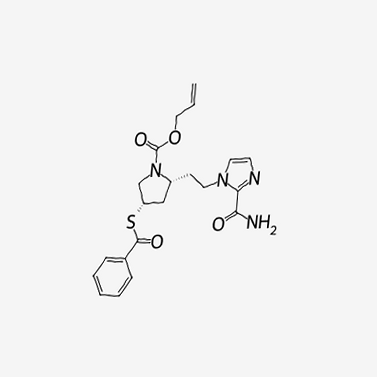 C=CCOC(=O)N1C[C@@H](SC(=O)c2ccccc2)C[C@H]1CCn1ccnc1C(N)=O